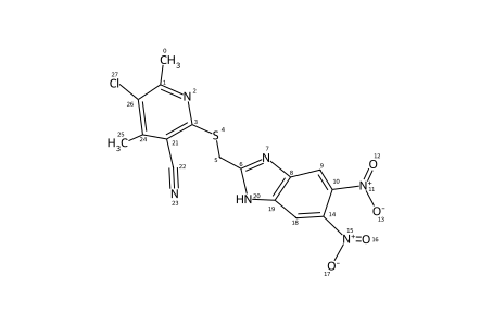 Cc1nc(SCc2nc3cc([N+](=O)[O-])c([N+](=O)[O-])cc3[nH]2)c(C#N)c(C)c1Cl